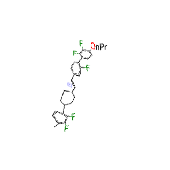 CCCOc1ccc(-c2ccc(/C=C/C3CCC(c4ccc(C)c(F)c4F)CC3)cc2F)c(F)c1F